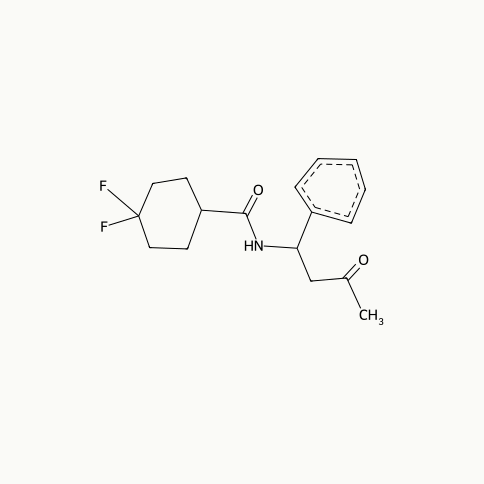 CC(=O)CC(NC(=O)C1CCC(F)(F)CC1)c1ccccc1